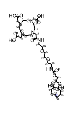 O=C(O)CN1CCN(CC(=O)O)CCN(CC(=O)NCCOCCOCCNC(=O)OCC2O[C@H]3CC/C=C/CC[C@H]3O2)CCN(CC(=O)O)CC1